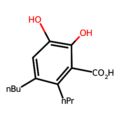 CCCCc1cc(O)c(O)c(C(=O)O)c1CCC